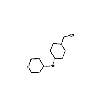 N#CC[C@H]1CC[C@H](NC2CCOCC2)CC1